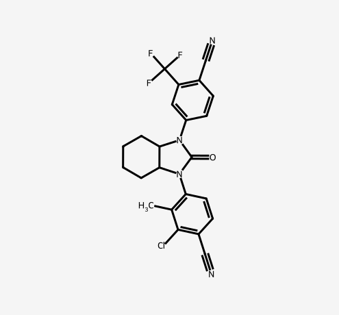 Cc1c(N2C(=O)N(c3ccc(C#N)c(C(F)(F)F)c3)C3CCCCC32)ccc(C#N)c1Cl